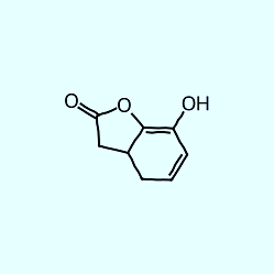 O=C1CC2CC=CC(O)=C2O1